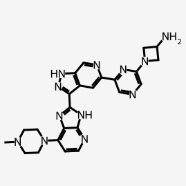 CN1CCN(c2ccnc3[nH]c(-c4n[nH]c5cnc(-c6cncc(N7CC(N)C7)n6)cc45)nc23)CC1